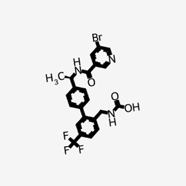 C[C@@H](NC(=O)c1cncc(Br)c1)c1ccc(-c2cc(C(F)(F)F)ccc2CNC(=O)O)cc1